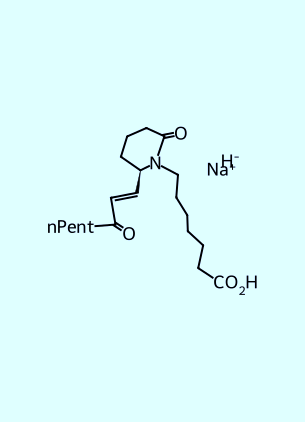 CCCCCC(=O)/C=C/[C@H]1CCCC(=O)N1CCCCCCC(=O)O.[H-].[Na+]